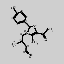 CC1=C(C(N)=O)SC(c2ccc(Cl)cc2)N1CC(C)CC=N